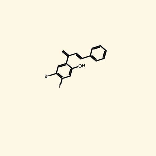 C=C(/C=C/c1ccccc1)c1cc(Br)c(F)cc1O